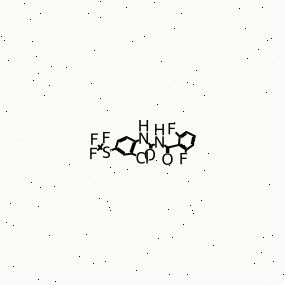 O=C(NC(=O)c1c(F)cccc1F)Nc1ccc(SC(F)(F)F)cc1Cl